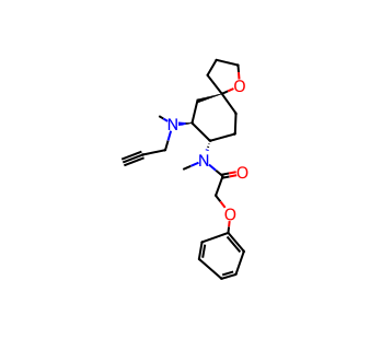 C#CCN(C)[C@H]1C[C@]2(CCCO2)CC[C@@H]1N(C)C(=O)COc1ccccc1